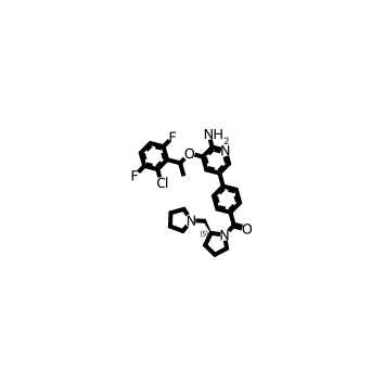 CC(Oc1cc(-c2ccc(C(=O)N3CCC[C@H]3CN3CCCC3)cc2)cnc1N)c1c(F)ccc(F)c1Cl